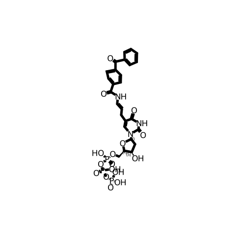 O=C(NC=CCc1cn([C@H]2C[C@H](O)[C@@H](COP(=O)(O)OP(=O)(O)OP(=O)(O)O)O2)c(=O)[nH]c1=O)c1ccc(C(=O)c2ccccc2)cc1